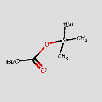 CC(C)COC(=O)O[Si](C)(C)C(C)(C)C